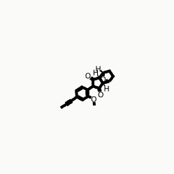 CC#Cc1ccc(C2C(=O)[C@H]3[C@@H]4CCC(O4)[C@H]3C2=O)c(OC)c1